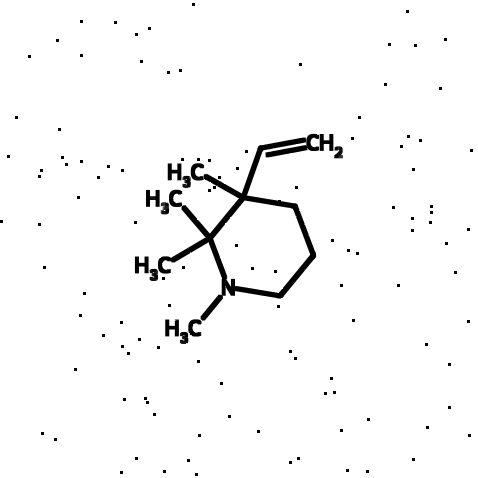 C=CC1(C)CCCN(C)C1(C)C